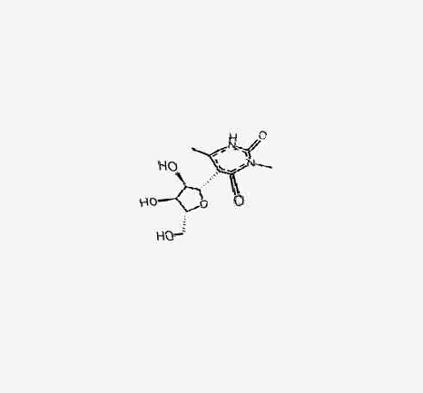 Cc1[nH]c(=O)n(C)c(=O)c1[C@@H]1O[C@H](CO)[C@@H](O)[C@H]1O